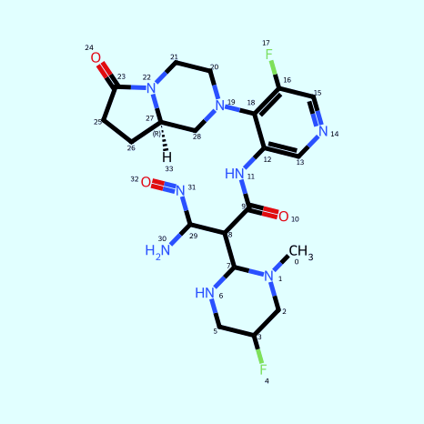 CN1CC(F)CNC1C(C(=O)Nc1cncc(F)c1N1CCN2C(=O)CC[C@@H]2C1)C(N)N=O